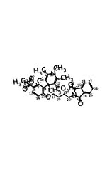 CC1=C(C(=O)O)C(C)(c2cc(S(C)(=O)=O)ccc2OCCCCN2C(=O)c3ccccc3C2=O)C(C(=O)O)=C(C)N1C